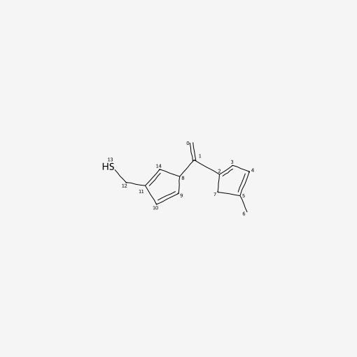 C=C(C1=CC=C(C)C1)C1C=CC(CS)=C1